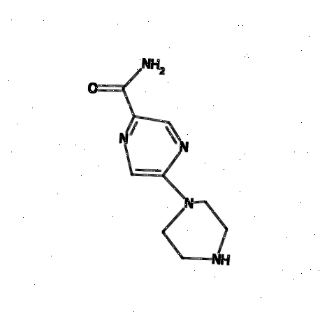 NC(=O)c1cnc(N2CCNCC2)cn1